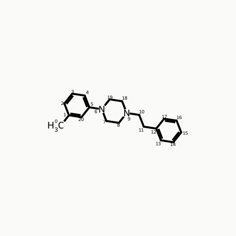 Cc1cccc(N2CCN(CCc3ccccc3)CC2)c1